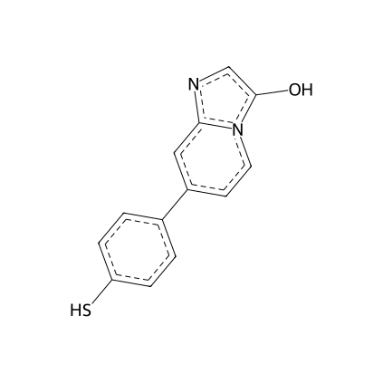 Oc1cnc2cc(-c3ccc(S)cc3)ccn12